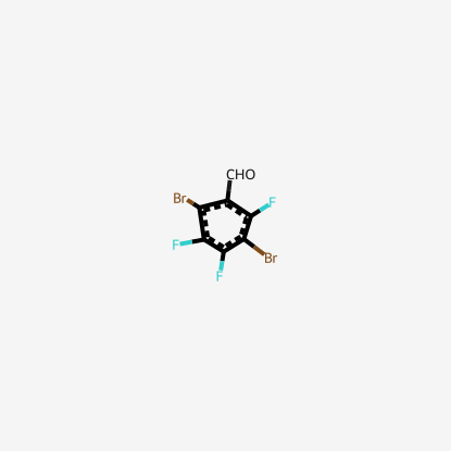 O=Cc1c(F)c(Br)c(F)c(F)c1Br